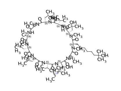 C/C=C/C[C@@H](C)[C@@H](O)[C@H]1C(=O)N[C@@H](CC)C(=O)N(C)[C@H](CSCCCCC(C)(C)O)C(=O)N(C)[C@@H](CC(C)(C)O)C(=O)N[C@@H](C(C)C)C(=O)N(C)[C@@H](CC(C)C)C(=O)N[C@@H](C)C(=O)N[C@H](C)C(=O)N(C)[C@@H](CC(C)C)C(=O)N(C)[C@@H](CC(C)C)C(=O)N(C)[C@@H](C(C)C)C(=O)N1C